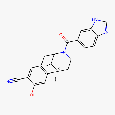 CC1C2Cc3cc(C#N)c(O)cc3[C@]1(C)CCN2C(=O)c1ccc2nc[nH]c2c1